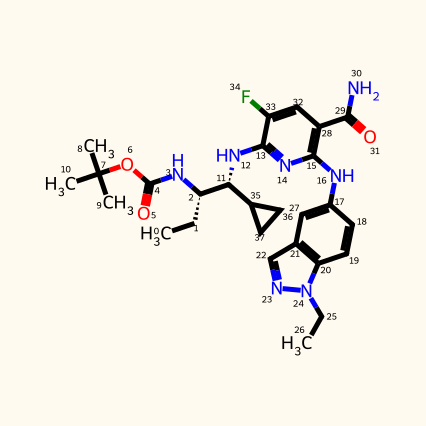 CC[C@H](NC(=O)OC(C)(C)C)[C@H](Nc1nc(Nc2ccc3c(cnn3CC)c2)c(C(N)=O)cc1F)C1CC1